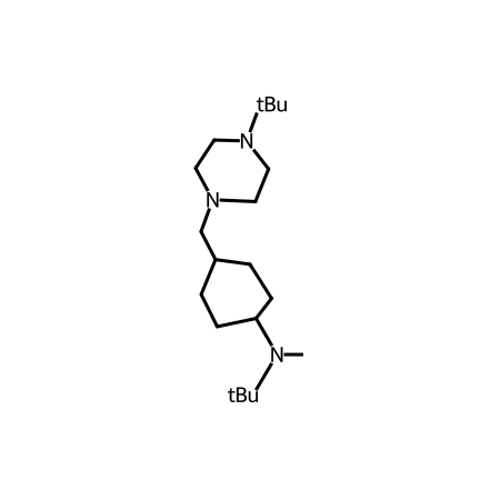 CN(C1CCC(CN2CCN(C(C)(C)C)CC2)CC1)C(C)(C)C